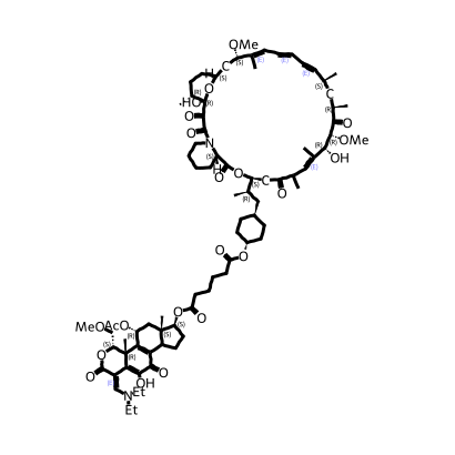 CCN(/C=C1/C(=O)O[C@H](COC)[C@@]2(C)C1=C(O)C(=O)C1=C2[C@H](OC(C)=O)C[C@@]2(C)C1CC[C@@H]2OC(=O)CCCCC(=O)O[C@H]1CC[C@H](C[C@@H](C)[C@@H]2CC(=O)C(C)/C=C(\C)[C@@H](O)[C@@H](OC)C(=O)[C@H](C)C[C@H](C)/C=C/C=C/C=C(\C)[C@@H](OC)C[C@@H]3CC[C@@H](C)[C@@](O)(O3)C(=O)C(=O)N3CCCC[C@H]3C(=O)O2)CC1)CC